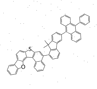 CC1(C)c2ccc(-c3c4ccccc4c(-c4ccccc4)c4ccccc34)cc2-c2cccc(-c3cc4sc5ccc6c7ccccc7oc6c5c4c4ccccc34)c21